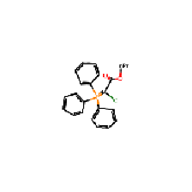 CCCOC(=O)C(Cl)=P(c1ccccc1)(c1ccccc1)c1ccccc1